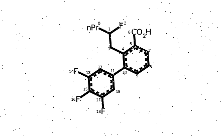 CCCC(F)Cc1c(C(=O)O)cccc1-c1cc(F)c(F)c(F)c1